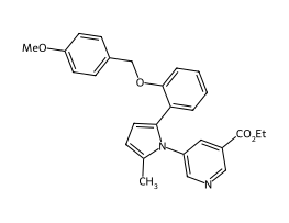 CCOC(=O)c1cncc(-n2c(C)ccc2-c2ccccc2OCc2ccc(OC)cc2)c1